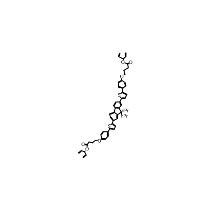 C=CC(C=C)OC(=O)CCCOc1ccc(-c2ccc(-c3ccc4c(c3)C(CCC)(CCC)c3cc(-c5ccc(-c6ccc(OCCCC(=O)OC(C=C)C=C)cc6)s5)ccc3-4)s2)cc1